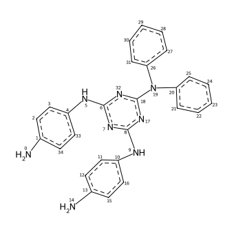 Nc1ccc(Nc2nc(Nc3ccc(N)cc3)nc(N(c3ccccc3)c3ccccc3)n2)cc1